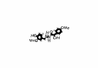 COc1ccc(C(O)C(=O)NNCc2ccc(O)c(OC)c2)cc1